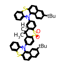 CC(C)(C)c1ccc2c3c(ccc2c1)Sc1ccccc1N3c1ccc2c(c1)C(C)(C)c1cc(N3c4ccccc4Sc4ccc5ccc(C(C)(C)C)cc5c43)ccc1S2(=O)=O